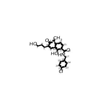 Cn1c(=O)c(CCCO)cc2c(O)c(C(=O)NCc3ccc(Cl)cc3)ccc21